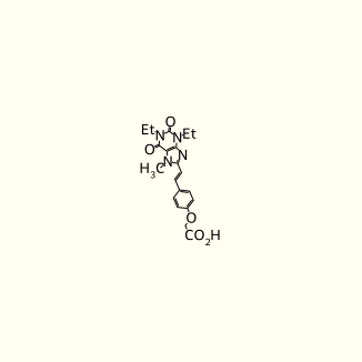 CCn1c(=O)c2c(nc(C=Cc3ccc(OCC(=O)O)cc3)n2C)n(CC)c1=O